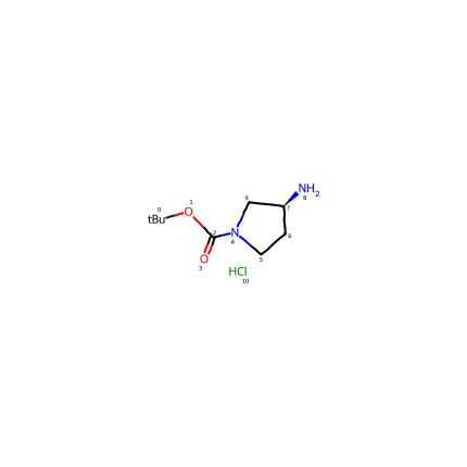 CC(C)(C)OC(=O)N1CC[C@H](N)C1.Cl